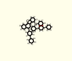 c1ccc(-c2ccc(-c3ccccc3N(c3ccccc3)c3cccc4oc5c6ccccc6c(-c6ccc(-c7ccccc7)cc6)cc5c34)cc2)cc1